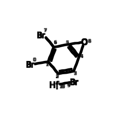 Brc1ccc2c(c1Br)O2.[Br][Hf]